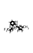 Cn1nc(C(=O)Nc2ccccc2OC(F)(F)C(F)C(F)(F)F)c(F)c1F